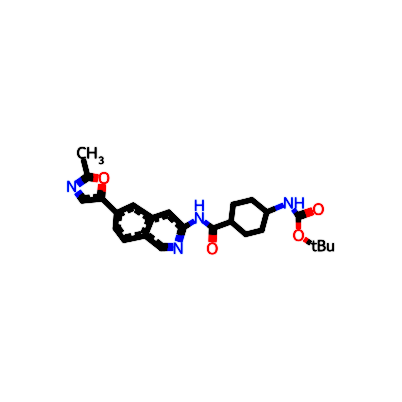 Cc1ncc(-c2ccc3cnc(NC(=O)C4CCC(NC(=O)OC(C)(C)C)CC4)cc3c2)o1